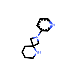 c1cncc(N2CC3(CCCCN3)C2)c1